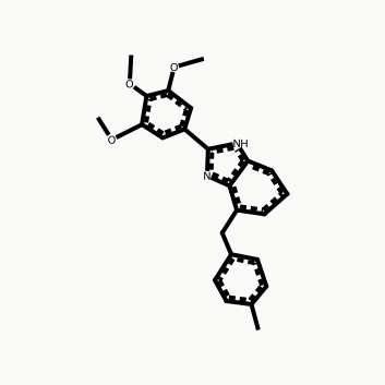 COc1cc(-c2nc3c(Cc4ccc(C)cc4)cccc3[nH]2)cc(OC)c1OC